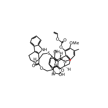 C=COC(=O)Oc1c(OC)c(C)cc2c1[C@H]1C3[C@@H]4SC[C@]5(NCCc6c5[nH]c5ccccc65)C(=O)OC[C@@H](c5c6c(c(C)c(O)c54)OCO6)N3[C@@H](O)[C@H](C2)N1C